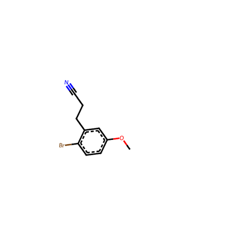 COc1ccc(Br)c(CCC#N)c1